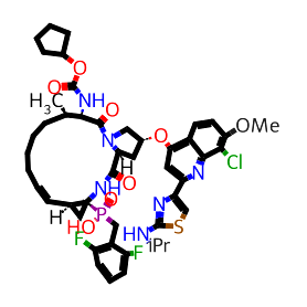 COc1ccc2c(O[C@@H]3C[C@H]4C(=O)N[C@]5(P(=O)(O)Cc6c(F)cccc6F)C[C@H]5/C=C\CCCC[C@@H](C)[C@H](NC(=O)OC5CCCC5)C(=O)N4C3)cc(-c3csc(NC(C)C)n3)nc2c1Cl